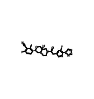 Cc1c([C@H]2CN3CCN(C(=O)Cc4cnc(-n5cnnn5)c(F)c4)C[C@H]3CO2)ccc(F)c1C#N